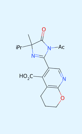 CC(=O)N1C(=O)C(C)(C(C)C)N=C1c1cnc2c(c1C(=O)O)CCCO2